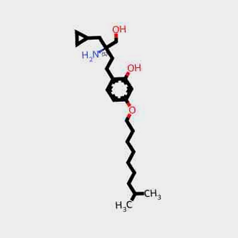 CC(C)CCCCCCCOc1ccc(CC[C@@](N)(CO)CC2CC2)c(O)c1